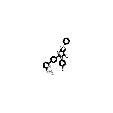 Nc1cccc(-c2ccc(-c3nc4nn(-c5ccccc5)cc4c(=O)n3-c3ccc(Cl)cc3)cc2)n1